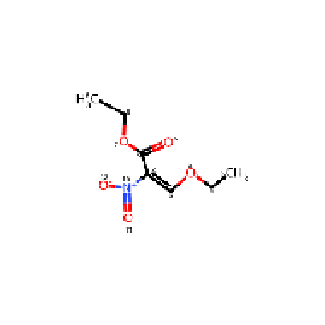 CCO/C=C(\C(=O)OCC)[N+](=O)[O-]